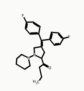 CCCC(=O)C1CC(=C(c2ccc(F)cc2)c2ccc(F)cc2)CN1N1CCCCC1